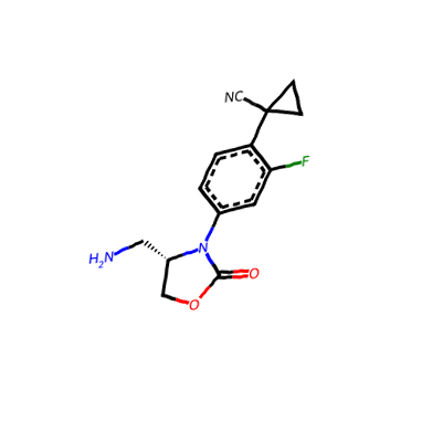 N#CC1(c2ccc(N3C(=O)OC[C@@H]3CN)cc2F)CC1